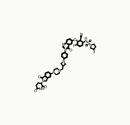 N#Cc1c(NS(=O)(=O)N2CC[C@@H](F)C2)ccc(F)c1Oc1ccc2ncn(-c3ccc(N4CC(CN5CCN(c6ccc7c(c6)CN(C6CCC(=O)NC6=O)C7=O)CC5)C4)cc3)c(=O)c2c1